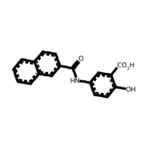 O=C(Nc1ccc(O)c(C(=O)O)c1)c1ccc2ccccc2c1